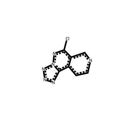 Clc1nn2nnnc2c2ccncc12